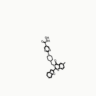 Cc1ccc2nc(-c3cc4ccccc4o3)n(CC3CCN(c4ncc(C(=O)NO)cn4)CC3)c(=O)c2c1